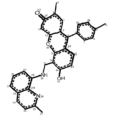 Cc1ccc(-c2c3cc(C)c(=O)cc-3oc3c(CNc4cccc5ccc(C)nc45)c(O)ccc23)cc1